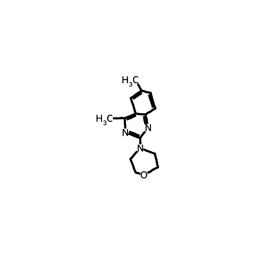 Cc1ccc2nc(N3CCOCC3)nc(C)c2c1